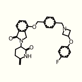 C=C1CCC(N2Cc3c(OCc4ccc(CN5CC(Oc6ccc(F)cc6)C5)cc4)cccc3C2=O)C(=O)N1